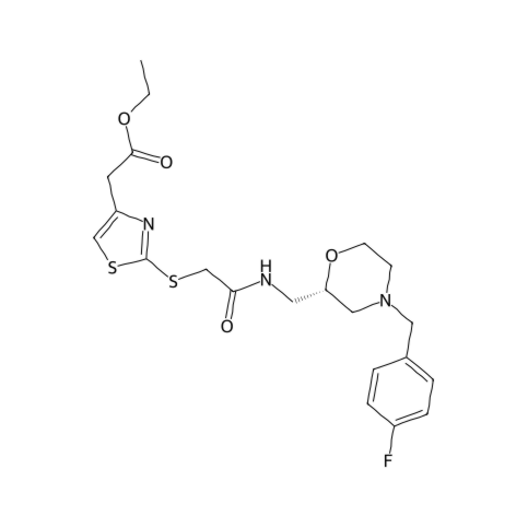 CCOC(=O)Cc1csc(SCC(=O)NC[C@H]2CN(Cc3ccc(F)cc3)CCO2)n1